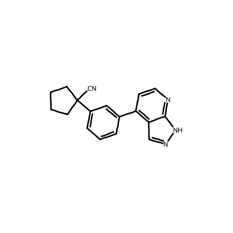 N#CC1(c2cccc(-c3ccnc4[nH]ncc34)c2)CCCC1